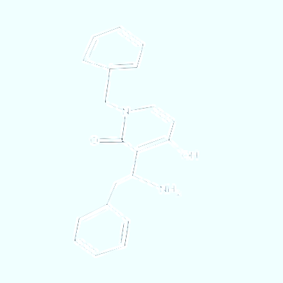 NC(Cc1ccccc1)c1c(O)ccn(Cc2ccccc2)c1=O